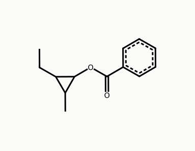 CCC1C(C)C1OC(=O)c1ccccc1